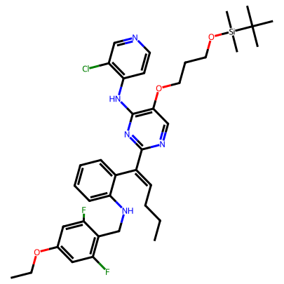 CCC/C=C(/c1ncc(OCCCO[Si](C)(C)C(C)(C)C)c(Nc2ccncc2Cl)n1)c1ccccc1NCc1c(F)cc(OCC)cc1F